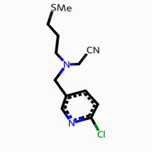 CSCCCN(CC#N)Cc1ccc(Cl)nc1